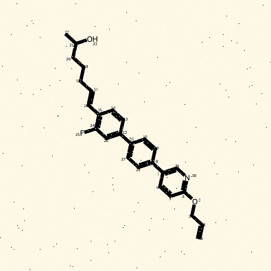 C=CCOc1ccc(-c2ccc(-c3ccc(/C=C/CCCC(C)O)c(F)c3)cc2)cn1